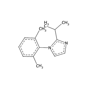 Cc1cccc(C)c1-n1ccnc1C(C)C